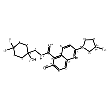 O=C(NCC1(O)CCC(F)(F)CC1)c1c(Cl)ccc2nc(N3CC[C@@H](F)C3)ccc12